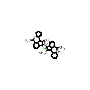 CC1=C(c2ccccc2)c2c(C(C)C)cccc2C1(Cl)[SiH2]C1(Cl)C(C)=C(c2ccccc2)c2c(C(C)C)cccc21.[Zr]